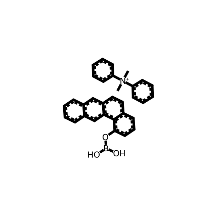 C[N+](C)(c1ccccc1)c1ccccc1.OB(O)Oc1cccc2ccc3cc4ccccc4cc3c12